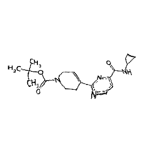 CC(C)(C)OC(=O)N1CC=C(c2nccc(C(=O)NC3CC3)n2)CC1